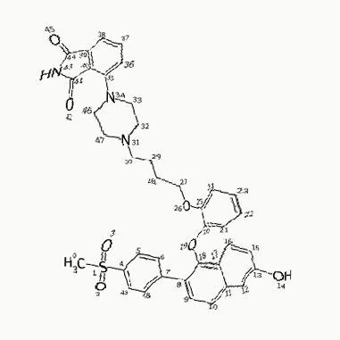 CS(=O)(=O)c1ccc(-c2ccc3cc(O)ccc3c2Oc2ccccc2OCCCCN2CCN(c3cccc4c3C(=O)NC4=O)CC2)cc1